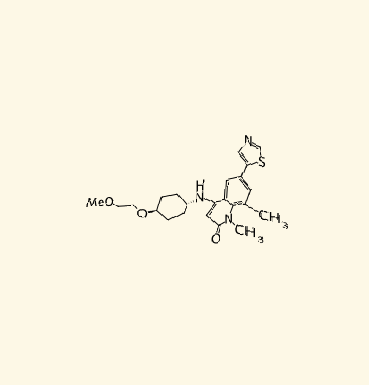 COCCO[C@H]1CC[C@H](Nc2cc(=O)n(C)c3c(C)cc(-c4cncs4)cc23)CC1